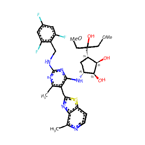 COCC(O)(COC)[C@H]1C[C@@H](Nc2nc(NCc3c(F)cc(F)cc3F)nc(C)c2-c2nc3c(C)nccc3s2)[C@H](O)[C@@H]1O